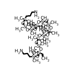 C=C[Si](C)(O[Si](C)(C)CCCN)O[Si](C)(C)O[Si](C)(C)O[Si](C)(C)O[Si](C)(C)O[Si](C)(C)O[Si](C)(C)O[Si](C)(C)O[Si](C)(C)O[Si](C)(C)O[Si](C)(C)CCCN